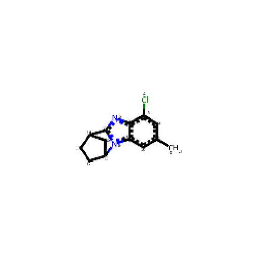 Cc1cc(Cl)c2nc3n(c2c1)C1CCC3C1